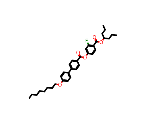 CCCCCCCCOc1ccc(-c2ccc(C(=O)Oc3ccc(C(=O)OC(CCC)CCC)c(F)c3)cc2)cc1